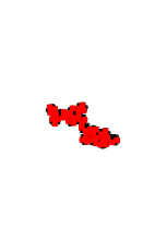 c1ccc(-n2c3ccccc3c3cc(-n4c5ccccc5c5c4ccc4c6ccccc6n(-c6ccc(-c7ccc8c(c7)c7ccc9c(c%10ccccc%10n9-c9cccc%10c9c9ccccc9n%10-c9ccccc9)c7n8-c7ccccc7)cc6)c45)ccc32)cc1